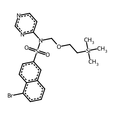 C[Si](C)(C)CCOCN(c1ccncn1)S(=O)(=O)c1ccc2c(Br)cccc2c1